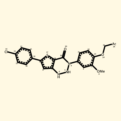 COc1cc(N2NNc3cc(-c4ccc(Cl)cc4)sc3C2=O)ccc1OCC(C)=O